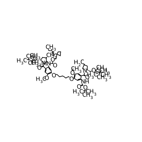 C=C1C[C@@H](CO[Si](C)(C)C(C)(C)C)N(C(=O)c2cc(OC)c(OCCCCCOc3cc(NC(=O)OC(C)(C)C)c(C(=O)N4CC(=C)C[C@H]4CO[Si](C)(C)C(C)(C)C)cc3OC)cc2NC(=O)OCC2(SSCC)CCC2)C1